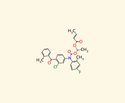 CC=CC(=O)OC(C)OC(=O)N(c1ccc(C(=O)c2ccccc2C)c(Cl)c1)c1ccc(F)cc1C